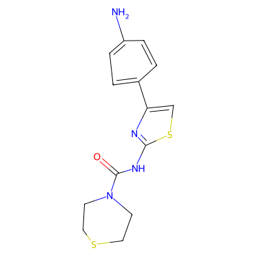 Nc1ccc(-c2csc(NC(=O)N3CCSCC3)n2)cc1